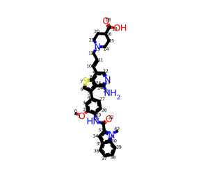 COc1cc(-c2csc3c(C=CCN4CCC(C(=O)O)CC4)cnc(N)c23)ccc1NC(=O)c1cc2ccccc2n1C